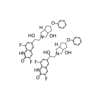 O=c1[nH]c2c(F)cc([C@@H](O)CN3C[C@H]4C[C@H](Oc5ccccc5)C[C@@]4(O)C3)cc2cc1F.O=c1[nH]c2c(F)cc([C@H](O)CN3C[C@H]4C[C@H](Oc5ccccc5)C[C@@]4(O)C3)cc2cc1F